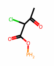 CC(=O)C(Cl)C(=O)OP